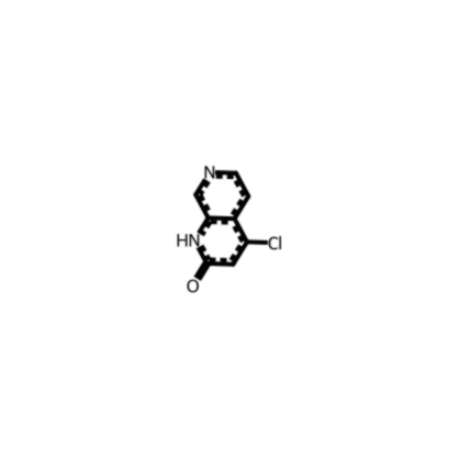 O=c1cc(Cl)c2ccncc2[nH]1